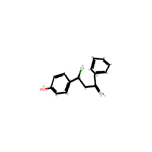 C=C(CC(Cl)c1ccc(O)cc1)c1ccccc1